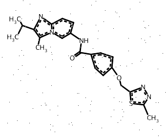 Cc1nnc(COc2ccc(C(=O)Nc3ccc4nc(C(C)C)c(C)n4c3)cc2)s1